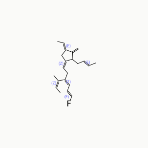 C=C1/C(=C/C)C/C(=C/CC(=C/C=C/F)/C(C)=C\C)C1C/C=C/C